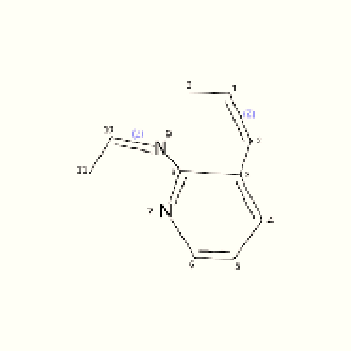 C/C=C\c1cccnc1/N=C\C